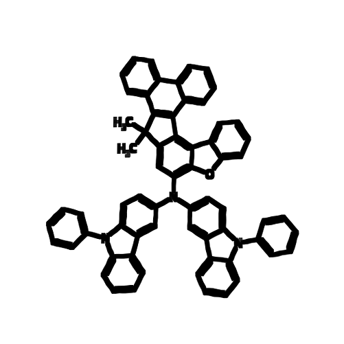 CC1(C)c2cc(N(c3ccc4c(c3)c3ccccc3n4-c3ccccc3)c3ccc4c(c3)c3ccccc3n4-c3ccccc3)c3oc4ccccc4c3c2-c2c1c1ccccc1c1ccccc21